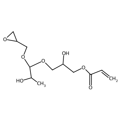 C=CC(=O)OCC(O)COC(OCC1CO1)C(C)O